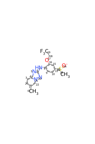 Cc1ccc2nc(Nc3ccc([S@@+](C)[O-])cc3OCC(F)(F)F)nn2c1